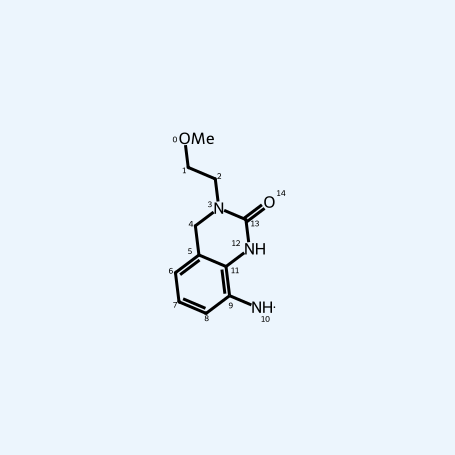 COCCN1Cc2cccc([NH])c2NC1=O